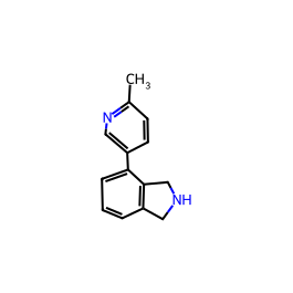 Cc1ccc(-c2cccc3c2CNC3)cn1